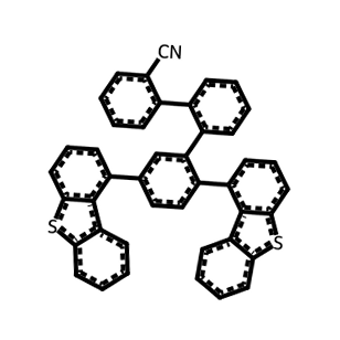 N#Cc1ccccc1-c1ccccc1-c1cc(-c2cccc3sc4ccccc4c23)ccc1-c1cccc2sc3ccccc3c12